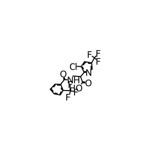 O=C(NCC(C(=O)O)c1ncc(C(F)(F)F)cc1Cl)c1ccccc1C(F)(F)F